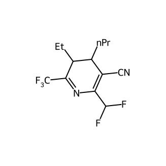 CCCC1C(C#N)=C(C(F)F)N=C(C(F)(F)F)C1CC